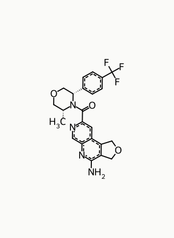 C[C@@H]1COC[C@H](c2ccc(C(F)(F)F)cc2)N1C(=O)c1cc2c3c(c(N)nc2cn1)COC3